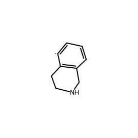 [c]1cccc2c1CCNC2